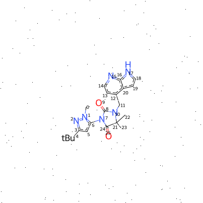 Cn1nc(C(C)(C)C)cc1N1C(=O)N(Cc2ccnc3[nH]ccc23)C(C)(C)C1=O